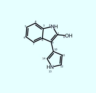 Oc1[nH]c2ccccc2c1-c1cc[nH]c1